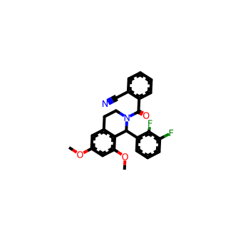 COc1cc2c(c(OC)c1)C(c1cccc(F)c1F)N(C(=O)c1ccccc1C#N)CC2